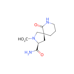 NC(=O)[C@@H]1C[C@@]2(CCCNC2=O)CN1C(=O)O